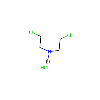 CCN(CCCl)CCCl.Cl